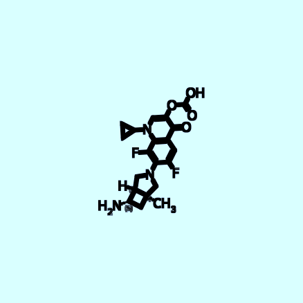 C[C@]12C[C@H](N)[C@@H]1CN(c1c(F)cc3c(=O)c(OC(=O)O)cn(C4CC4)c3c1F)C2